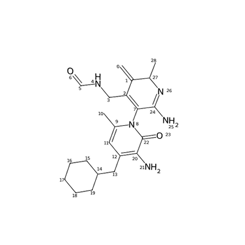 C=C1C(CNC=O)=C(n2c(C)cc(CC3CCCCC3)c(N)c2=O)C(N)=NC1C